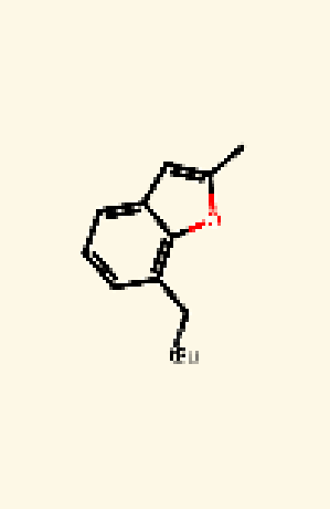 Cc1cc2cccc(CC(C)(C)C)c2o1